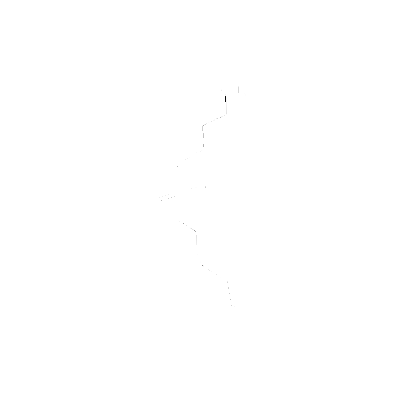 CCCCCP(=S)(Cl)CCCCC